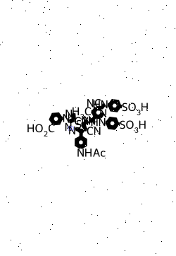 CC(=O)Nc1ccc(-c2c(/N=N\c3c(C#N)cnn3-c3cccc(C(=O)O)c3)sc(N=Nc3c(Nc4ccc(S(=O)(=O)O)cc4)nc(Nc4ccc(S(=O)(=O)O)cc4)c(C#N)c3C)c2C#N)cc1